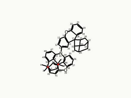 CC1(C)CCC(C)(C)c2c(N(c3ccc4c(c3)C3(c5ccccc5O4)C4CC5CC6CC3C64C5)c3cccc4oc5ccccc5c34)cccc21